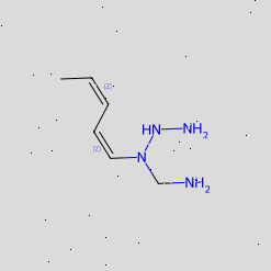 C/C=C\C=C/N(CN)NN